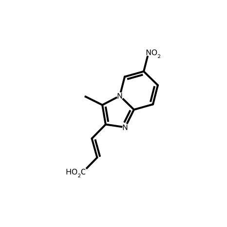 Cc1c(C=CC(=O)O)nc2ccc([N+](=O)[O-])cn12